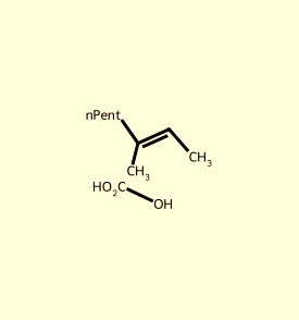 CC=C(C)CCCCC.O=C(O)O